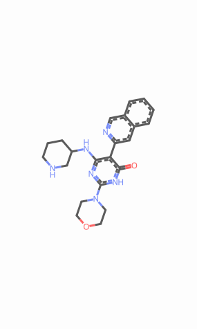 O=c1[nH]c(N2CCOCC2)nc(NC2CCCNC2)c1-c1cc2ccccc2cn1